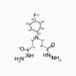 NNC(=O)CCN(CCC(=O)NN)c1ccc(F)cc1